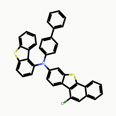 Clc1cc2ccccc2c2sc3cc(N(c4ccc(-c5ccccc5)cc4)c4cccc5sc6ccccc6c45)ccc3c12